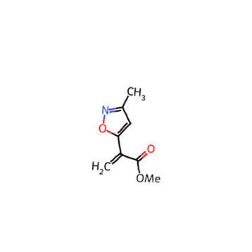 C=C(C(=O)OC)c1cc(C)no1